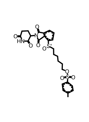 Cc1ccc(S(=O)(=O)OCCCCCC[S+]([O-])c2cccc3c2C(=O)N(C2CCC(=O)NC2=O)C3=O)cc1